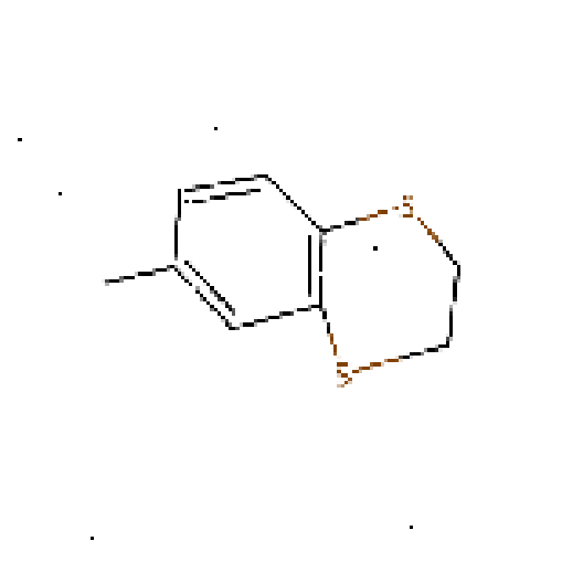 Cc1ccc2c(c1)SCCS2